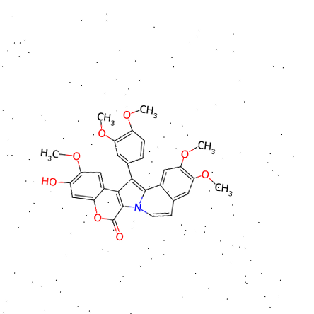 COc1cc2c(cc1O)oc(=O)c1c2c(-c2ccc(OC)c(OC)c2)c2c3cc(OC)c(OC)cc3ccn21